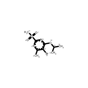 Cc1nc(S(C)(=O)=O)nc(OC(C)C)c1Br